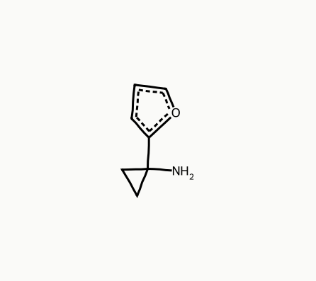 NC1(c2ccco2)CC1